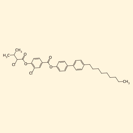 CCCCCCCCCc1ccc(-c2ccc(OC(=O)c3ccc(OC(=O)C(Cl)C(C)C)c(Cl)c3)cc2)cc1